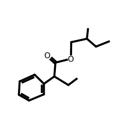 CCC(C)COC(=O)C(CC)c1ccccc1